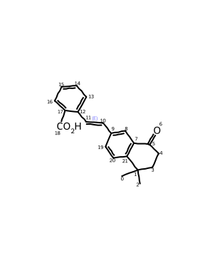 CC1(C)CCC(=O)c2cc(/C=C/c3ccccc3C(=O)O)ccc21